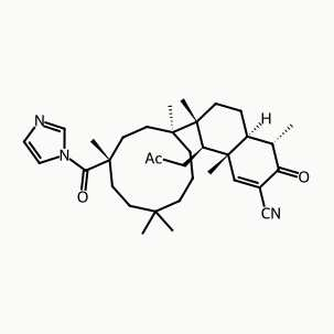 CC(=O)C[C@@H]1[C@@]2(C)C=C(C#N)C(=O)[C@@H](C)[C@@H]2CC[C@@]1(C)[C@@]1(C)CCCC(C)(C)CC[C@](C)(C(=O)n2ccnc2)CC1